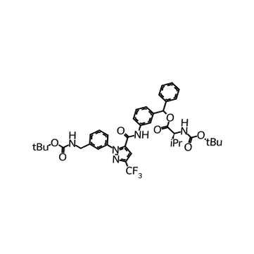 CC(C)[C@H](NC(=O)OC(C)(C)C)C(=O)OC(c1ccccc1)c1cccc(NC(=O)c2cc(C(F)(F)F)nn2-c2cccc(CNC(=O)OC(C)(C)C)c2)c1